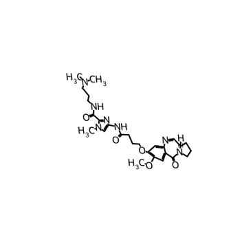 COc1cc2c(cc1OCCCC(=O)Nc1cn(C)c(C(=O)NCCCN(C)C)n1)N=C[C@@H]1CCCN1C2=O